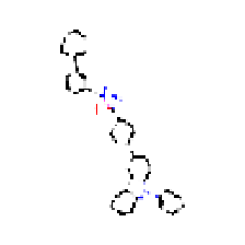 c1ccc(-c2cccc(-c3nnc(-c4ccc(-c5ccc6c(c5)c5ccccc5n6-c5ccccc5)cc4)o3)c2)cc1